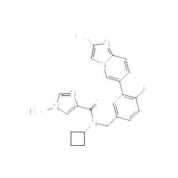 Cc1cn2cc(-c3cc(CN(C(=O)c4cn(C)cn4)C4CCC4)ccc3F)ccc2n1